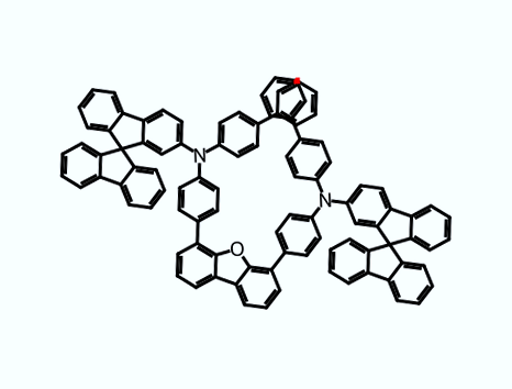 c1ccc(-c2ccc(N(c3ccc(-c4cccc5c4oc4c(-c6ccc(N(c7ccc(-c8ccccc8)cc7)c7ccc8c(c7)C7(c9ccccc9-c9ccccc97)c7ccccc7-8)cc6)cccc45)cc3)c3ccc4c(c3)C3(c5ccccc5-c5ccccc53)c3ccccc3-4)cc2)cc1